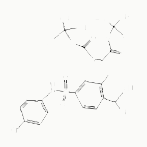 CC(C)c1ccc(S(=O)(=O)Nc2ccc(Cl)cc2)cc1C[C@H](NC(=O)OC(C)(C)C)C(=O)OC(C)(C)C